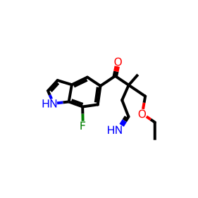 CCOCC(C)(CC=N)C(=O)c1cc(F)c2[nH]ccc2c1